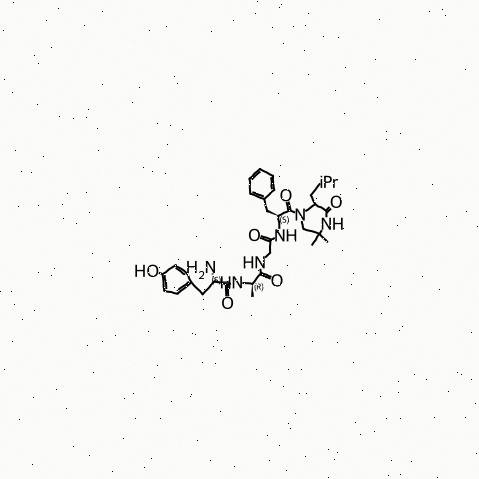 CC(C)CC1C(=O)NC(C)(C)CN1C(=O)[C@H](Cc1ccccc1)NC(=O)CNC(=O)[C@@H](C)NC(=O)[C@@H](N)Cc1ccc(O)cc1